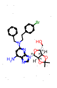 CC1(C)O[C@@H]2[C@H](O1)[C@@H](CO)O[C@H]2n1cnc2c(N)cc(N(CCc3ccc(Br)cc3)Cc3ccccc3)nc21